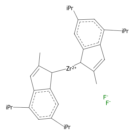 CC1=Cc2c(C(C)C)cc(C(C)C)cc2[CH]1[Zr+2][CH]1C(C)=Cc2c(C(C)C)cc(C(C)C)cc21.[F-].[F-]